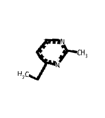 CCc1c[c]nc(C)n1